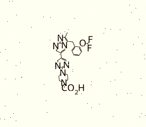 Cc1nc2ncc(-c3cnc(N4CCN(C(=O)O)CC4)nc3)cn2c1Cc1ccccc1OC(F)F